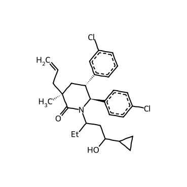 C=CC[C@@]1(C)C[C@H](c2cccc(Cl)c2)[C@@H](c2ccc(Cl)cc2)N(C(CC)CC(O)C2CC2)C1=O